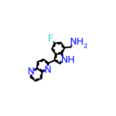 NCc1cc(F)cc2c(-c3ccc4ncccc4n3)c[nH]c12